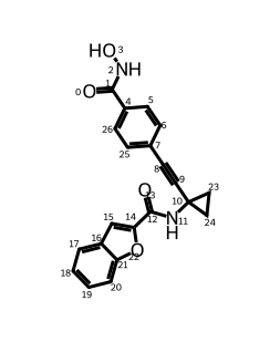 O=C(NO)c1ccc(C#CC2(NC(=O)c3cc4ccccc4o3)CC2)cc1